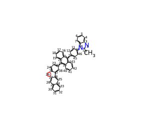 Cc1nc2ccccc2n1-c1ccc(-c2c3ccccc3c(-c3ccc4oc5cc6ccccc6cc5c4c3)c3ccccc23)cc1